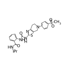 CC(C)NC(=O)c1ccccc1NC(=O)Nc1nc2c(s1)CN(c1ccc(S(C)(=O)=O)cc1)CC2